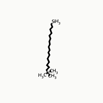 C[N+](C)(C)CCCCCCCCCCCCCCCCC[SiH3]